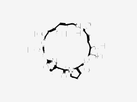 CC1=C\[C@@H](O)C[C@@H](O)Cc2nc(co2)C(=O)N2CCC=C2C(=O)O[C@H](C(C)C)[C@H](C)/C=C/C(=O)NC\C=C\1